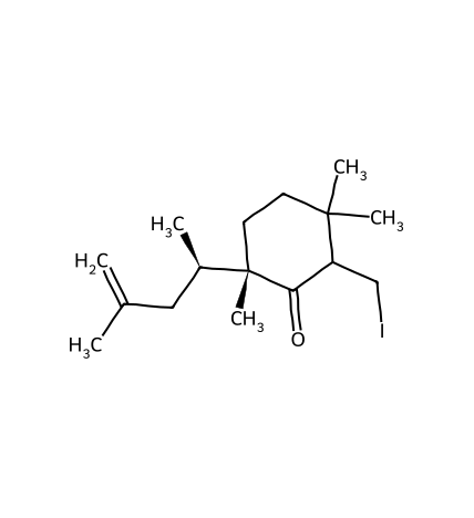 C=C(C)C[C@@H](C)[C@]1(C)CCC(C)(C)C(CI)C1=O